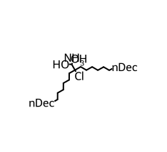 CCCCCCCCCCCCCCCCC(Cl)(CCCCCCCCCCCCCCCC)C(O)O.N